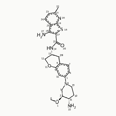 CO[C@H]1CN(c2ccc3c(c2)OC[C@H](NC(=O)c2sc4nc(C)ccc4c2N)C3)CC[C@@H]1N